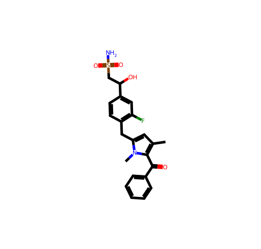 Cc1cc(Cc2ccc(C(O)CS(N)(=O)=O)cc2F)n(C)c1C(=O)c1ccccc1